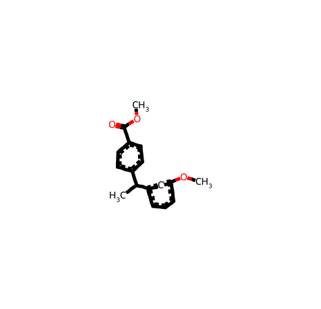 COC(=O)c1ccc(C(C)c2cccc(OC)c2)cc1